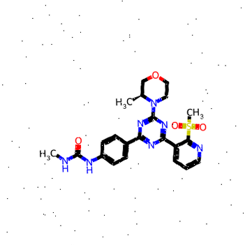 CNC(=O)Nc1ccc(-c2nc(-c3cccnc3S(C)(=O)=O)nc(N3CCOC[C@@H]3C)n2)cc1